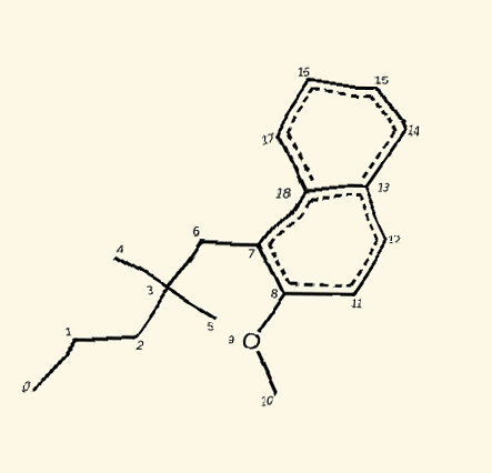 CCCC(C)(C)Cc1c(OC)ccc2ccccc12